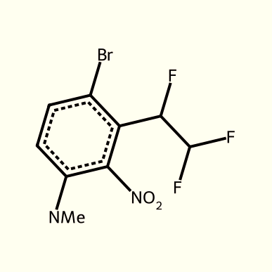 CNc1ccc(Br)c(C(F)C(F)F)c1[N+](=O)[O-]